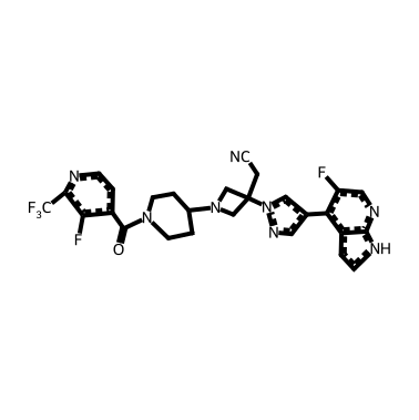 N#CCC1(n2cc(-c3c(F)cnc4[nH]ccc34)cn2)CN(C2CCN(C(=O)c3ccnc(C(F)(F)F)c3F)CC2)C1